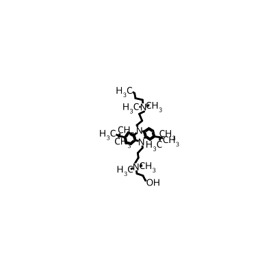 CCCC[N+](C)(C)CCCCN1c2cc(C(C)(C)C)ccc2N(CCCC[N+](C)(C)CCCO)c2cc(C(C)(C)C)ccc21